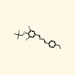 CCc1ccc(/C=N/N=C/c2cc(F)c(OCC(F)(F)F)c(F)c2)cc1